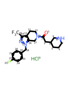 Cl.O=C(CC1CCCNC1)N1CCc2c(C(F)(F)F)nn(Cc3ccc(F)cc3)c2C1